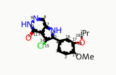 COc1ccc(-c2[nH]c3cn[nH]c(=O)c3c2Cl)cc1OC(C)C